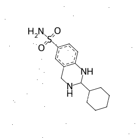 NS(=O)(=O)c1ccc2c(c1)CNC(C1CCCCC1)N2